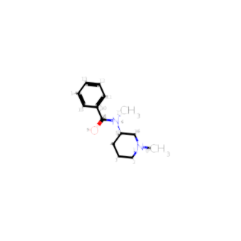 CN1CCC[C@@H](N(C)C(=O)c2ccccc2)C1